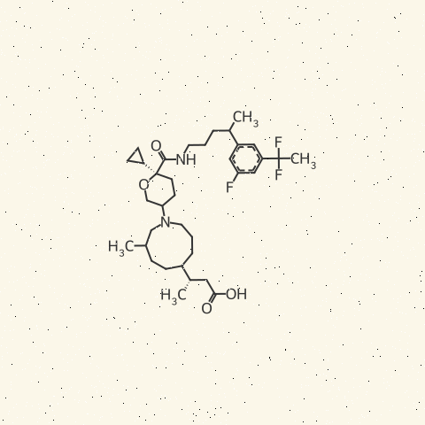 CC1CCC([C@@H](C)CC(=O)O)CCCN(C2CC[C@@](C(=O)NCCCC(C)c3cc(F)cc(C(C)(F)F)c3)(C3CC3)OC2)C1